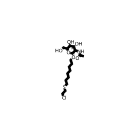 CC(=O)NC1[C@H](OCCCCCCCCSCCCl)OC(CO)[C@@H](O)[C@@H]1O